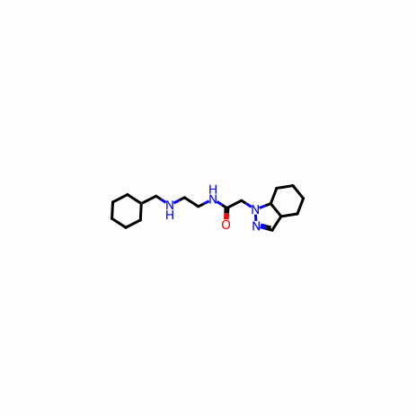 O=C(CN1N=CC2CCCCC21)NCCNCC1CCCCC1